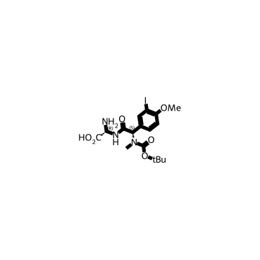 COc1ccc([C@@H](C(=O)N[C@@H](N)C(=O)O)N(C)C(=O)OC(C)(C)C)cc1I